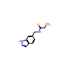 CCC(=O)NCc1ccc2cn[nH]c2c1